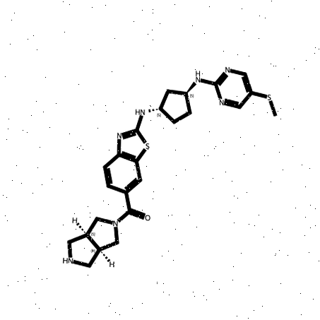 CSc1cnc(N[C@H]2CC[C@H](Nc3nc4ccc(C(=O)N5C[C@H]6CNC[C@H]6C5)cc4s3)C2)nc1